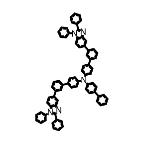 c1ccc(-c2ccc(N(c3ccc(-c4cccc(-c5ccc6c(c5)nc(-c5ccccc5)n6-c5ccccc5)c4)cc3)c3ccc(-c4cccc(-c5ccc6c(c5)nc(-c5ccccc5)n6-c5ccccc5)c4)cc3)cc2)cc1